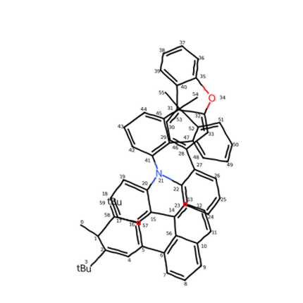 CC1C(C(C)(C)C)=CC(c2cccc3cccc(-c4ccccc4N(c4ccccc4-c4ccc5c(c4)oc4ccccc45)c4cccc5c4-c4ccccc4C5(C)C)c23)=CC1C(C)(C)C